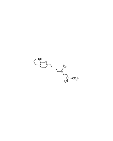 N[C@@H](CCN(CCCCc1ccc2c(n1)NCCC2)C1CC1)C(=O)O